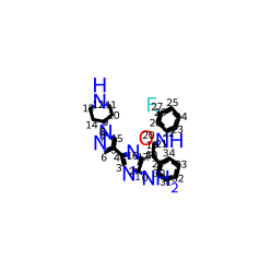 Nc1ncc(-c2cnn(C3CCNCC3)c2)nc1[C@H](C(=O)Nc1cccc(F)c1)c1ccccc1